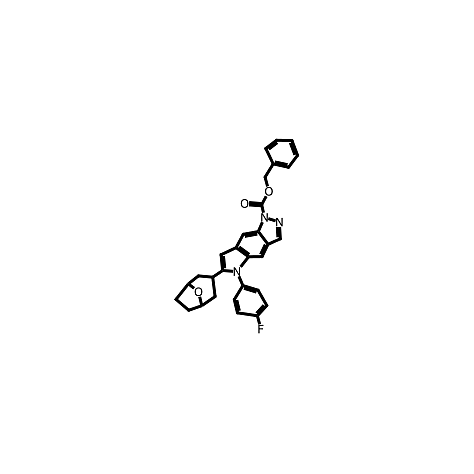 O=C(OCc1ccccc1)n1ncc2cc3c(cc(C4CC5CCC(C4)O5)n3-c3ccc(F)cc3)cc21